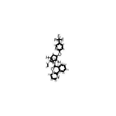 CC[C@@H]1[C@H]2C[C@@H](Oc3ccc(C(F)(F)F)cn3)[C@H](C2)N1C(=O)c1ccccc1-c1ncccn1